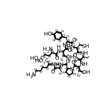 C[C@H](NC(=O)[C@H](CS)NC(=O)[C@H](Cc1ccc(O)cc1)NC(=O)[C@@H](NC(=O)[C@@H](N)CCC(=O)O)[C@@H](C)O)C(=O)N[C@H](C(=O)N1CCC[C@H]1C(=O)N[C@@H](C)C(=O)N[C@@H](CCCCN)C(=O)O)[C@@H](C)O